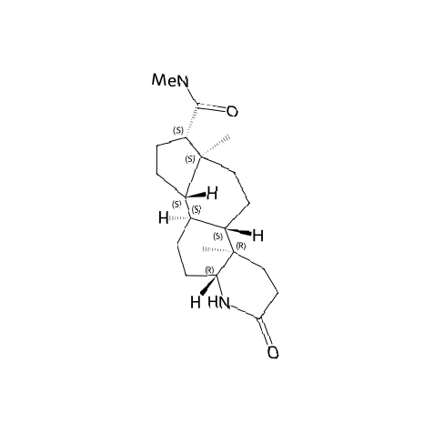 CNC(=O)[C@H]1CC[C@H]2[C@@H]3CC[C@H]4NC(=O)CC[C@]4(C)[C@H]3CC[C@]12C